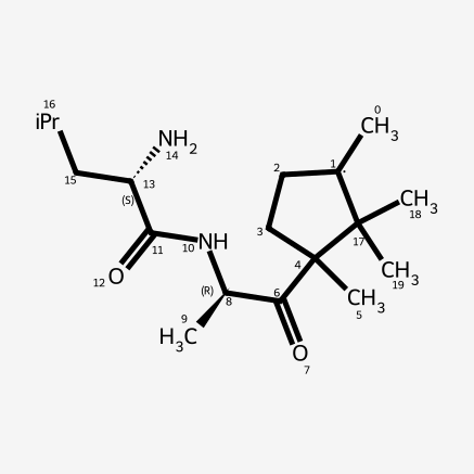 C[C]1CCC(C)(C(=O)[C@@H](C)NC(=O)[C@@H](N)CC(C)C)C1(C)C